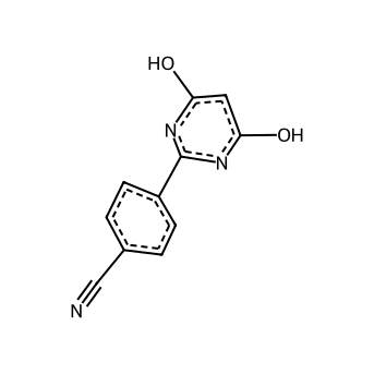 N#Cc1ccc(-c2nc(O)cc(O)n2)cc1